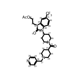 CC(=O)OCCn1c(=O)n(C2CCN(C(=O)C3CCN(Cc4ccncc4)CC3)CC2)c2ccc(C(F)(F)F)cc21